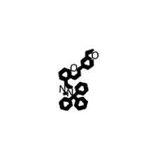 O=C(/C=C\c1ccccc1-c1cn(C(c2ccccc2)(c2ccccc2)c2ccccc2)cn1)c1ccc2occc2c1